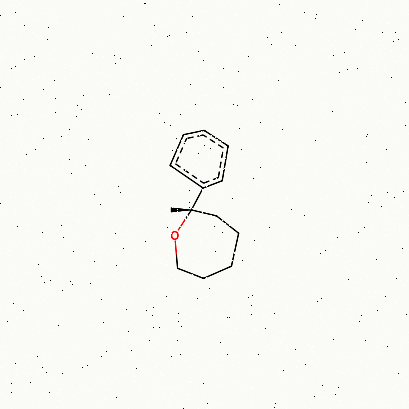 C[C@@]1(c2ccccc2)CCCCCO1